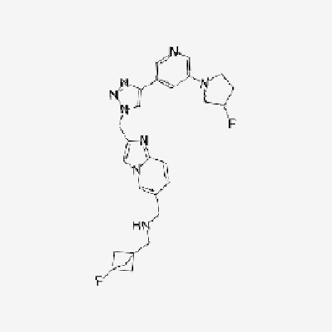 FC1CCN(c2cncc(-c3cn(Cc4cn5cc(CNCC67CC(F)(C6)C7)ccc5n4)nn3)c2)C1